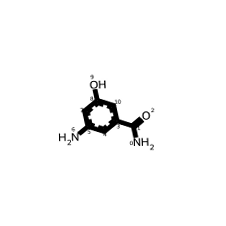 NC(=O)c1cc(N)cc(O)c1